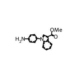 COC(=O)c1cn(-c2ccc(N)cc2)c2ccccc12